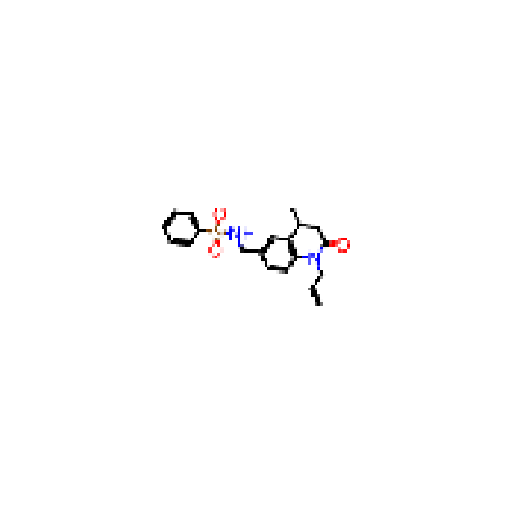 C=CCN1C(=O)CC(C)c2cc(CNS(=O)(=O)c3ccccc3)ccc21